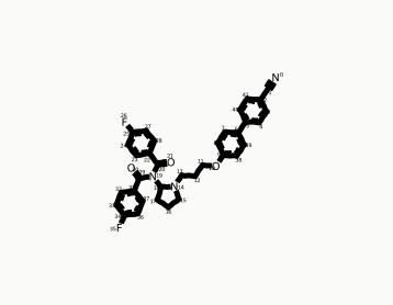 N#Cc1ccc(-c2ccc(OCCCN3CCCC3N(C(=O)c3ccc(F)cc3)C(=O)c3ccc(F)cc3)cc2)cc1